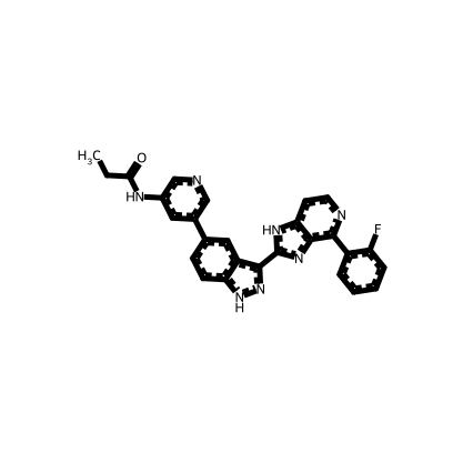 CCC(=O)Nc1cncc(-c2ccc3[nH]nc(-c4nc5c(-c6ccccc6F)nccc5[nH]4)c3c2)c1